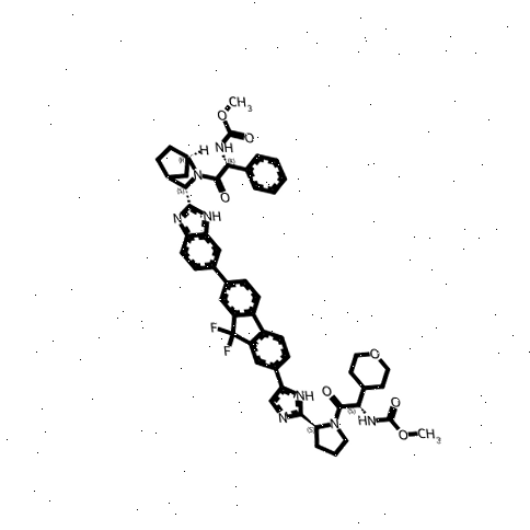 COC(=O)N[C@H](C(=O)N1CCC[C@H]1c1ncc(-c2ccc3c(c2)C(F)(F)c2cc(-c4ccc5nc([C@@H]6C7CC[C@H](C7)N6C(=O)[C@H](NC(=O)OC)c6ccccc6)[nH]c5c4)ccc2-3)[nH]1)C1CCOCC1